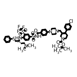 CN(C)CC[C@H](CSc1ccccc1)Nc1ccc(S(=O)(=O)NC(=O)c2ccc(N3CCN(CC4=C(c5ccc(Cl)cc5)CCN(C(=O)OC(C)(C)C)C4)CC3)cc2)cc1S(=O)(=O)C(F)(F)F